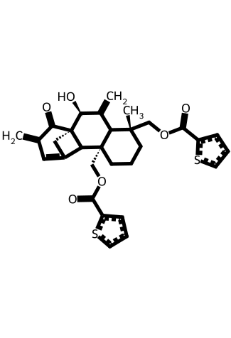 C=C1C=C2C[C@@]3(C1=O)C2[C@]1(COC(=O)c2cccs2)CCC[C@@](C)(COC(=O)c2cccs2)C1C(=C)[C@@H]3O